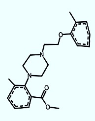 COC(=O)c1cccc(C)c1N1CCN(CCOc2ccccc2C)CC1